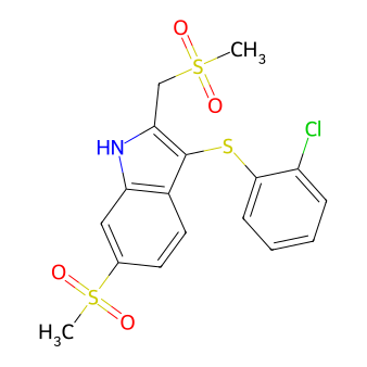 CS(=O)(=O)Cc1[nH]c2cc(S(C)(=O)=O)ccc2c1Sc1ccccc1Cl